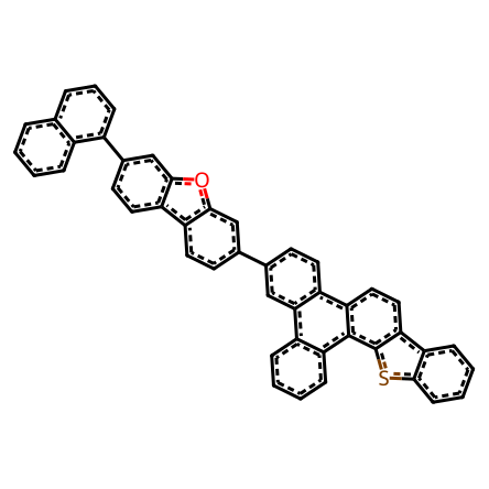 c1ccc2c(-c3ccc4c(c3)oc3cc(-c5ccc6c(c5)c5ccccc5c5c6ccc6c7ccccc7sc65)ccc34)cccc2c1